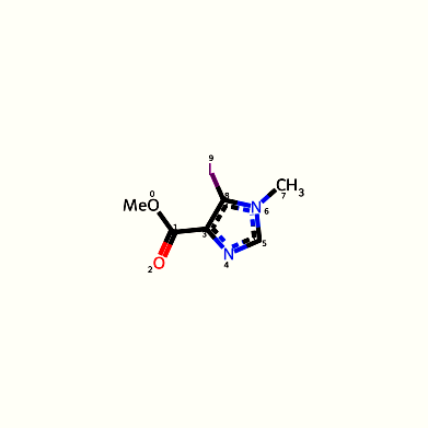 COC(=O)c1ncn(C)c1I